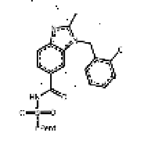 CCCCCS(=O)(=O)NC(=O)c1ccc2nc(C)n(Cc3ccccc3Cl)c2c1